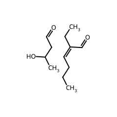 CC(O)CC=O.CCCC=C(C=O)CC